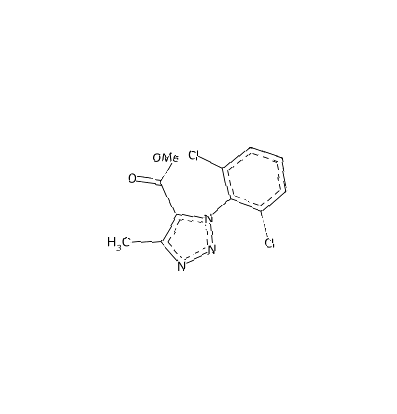 COC(=O)c1c(C)nnn1-c1c(Cl)cccc1Cl